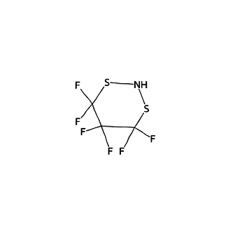 FC1(F)SNSC(F)(F)C1(F)F